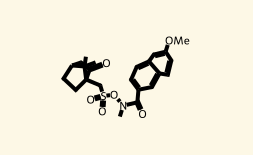 COc1ccc2cc(C(=O)N(C)OS(=O)(=O)CC34CCC(CC3=O)C4(C)C)ccc2c1